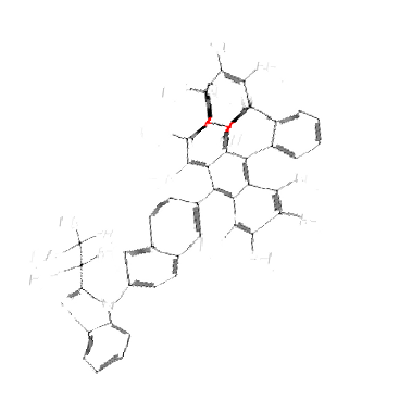 Bc1c(B)c(O)c(-c2ccccc2-c2c3c(B)c(B)c(B)c(B)c3c(-c3ccc4cc(-n5c(C(B)(B)C(B)(B)B)nc6ccccc65)ccc4c3)c3c(B)c(B)c(B)c(B)c23)c(B)c1O